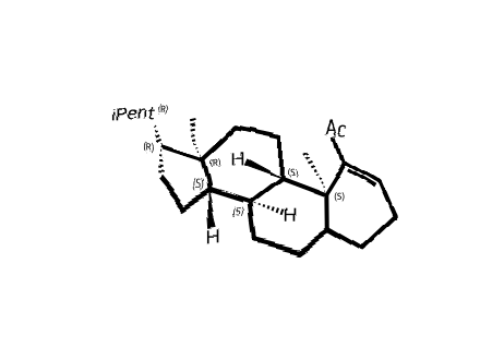 CCC[C@@H](C)[C@H]1CC[C@H]2[C@@H]3CCC4CCC=C(C(C)=O)[C@]4(C)[C@H]3CC[C@]12C